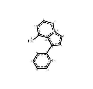 Oc1ncnn2ccc(-c3ccccn3)c12